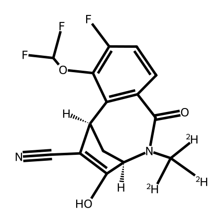 [2H]C([2H])([2H])N1C(=O)c2ccc(F)c(OC(F)F)c2[C@H]2C[C@@H]1C(O)=C2C#N